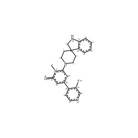 Cn1c(N2CCC3(CC2)CNc2ccccc23)nc(-c2ccncc2F)cc1=O